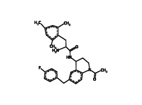 CC(=O)N1CCC(NC(=O)C(N)Cc2c(C)cc(C)cc2C)c2cc(Cc3ccc(F)cc3)ccc21